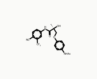 CC(=O)Nc1ccc(OC[C@](C)(O)C(=O)Nc2ccc(C#N)c(C(F)(F)F)c2)cc1